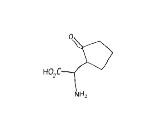 NC(C(=O)O)C1CCCC1=O